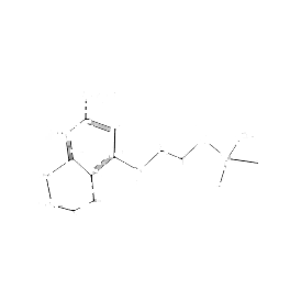 CCOC(=O)c1cc(NCCO[Si](C)(C)C(C)(C)C)c2c(n1)CNCC2